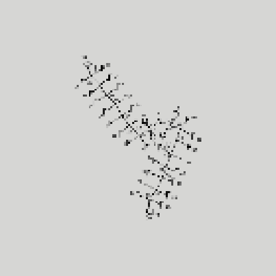 O=S(=O)([N]S(=O)(=O)C(F)(F)C(F)(F)C(F)(F)C(F)(F)C(F)(F)C(F)(F)C(F)(F)C(F)(F)F)C(F)(F)C(F)(F)C(F)(F)C(F)(F)C(F)(F)C(F)(F)C(F)(F)C(F)(F)F